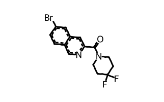 O=C(c1cc2cc(Br)ccc2cn1)N1CCC(F)(F)CC1